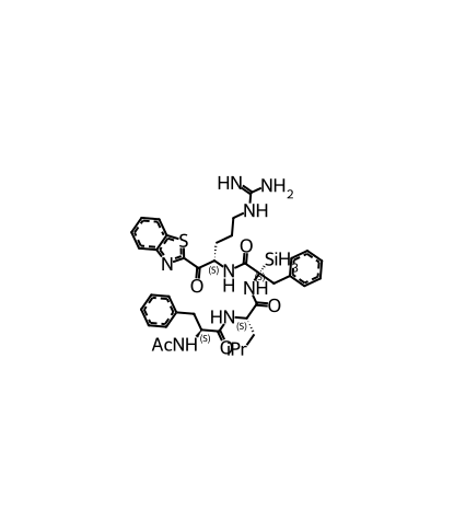 CC(=O)N[C@@H](Cc1ccccc1)C(=O)N[C@@H](CC(C)C)C(=O)N[C@]([SiH3])(Cc1ccccc1)C(=O)N[C@@H](CCCNC(=N)N)C(=O)c1nc2ccccc2s1